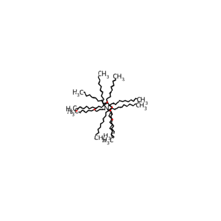 CCCCCCCCCCC(CCCCCCCCCC)(CCCCCCCCCC)[N+](CCCCCCCCCC)(C(CCCCCCCCCC)(CCCCCCCCCC)CCCCCCCCCC)C(CCCCCCCCCC)(CCCCCCCCCC)CCCCCCCCCC